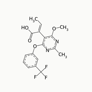 CC=C(C(=O)O)c1c(OC)nc(C)nc1Oc1cccc(C(F)(F)F)c1